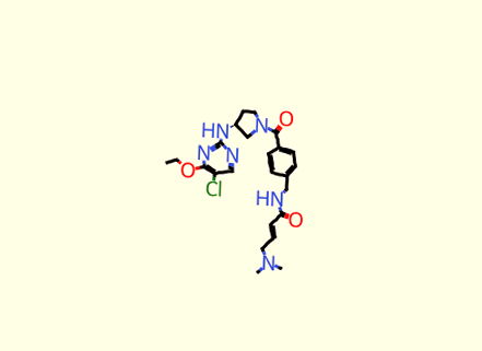 CCOc1nc(N[C@@H]2CCN(C(=O)c3ccc(CNC(=O)/C=C/CN(C)C)cc3)C2)ncc1Cl